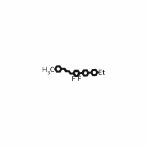 CCC1CCC(C2CC=C(c3ccc(CC/C=C/C4CCC(C)CC4)c(F)c3F)CC2)CC1